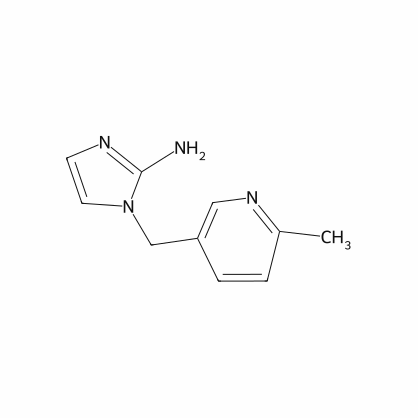 Cc1ccc(Cn2ccnc2N)cn1